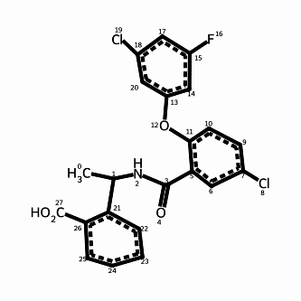 CC(NC(=O)c1cc(Cl)ccc1Oc1cc(F)cc(Cl)c1)c1ccccc1C(=O)O